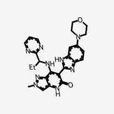 CCC(Nc1c(-c2nc3ccc(N4CCOCC4)cc3[nH]2)c(=O)[nH]c2cn(C)nc12)c1ncccn1